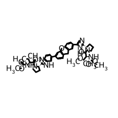 COC(=O)N[C@H](C(=O)N1CCC[C@H]1c1nc2ccc(-c3ccc4c(c3)Oc3ccc(-c5cnc([C@@H]6CCCN6C(=O)[C@@H](NC(=O)OC)[C@@H](C)OC)[nH]5)cc3C4)cc2[nH]1)C(C)C